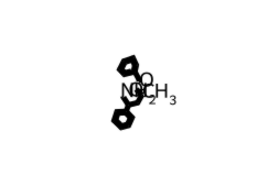 CC(CC(CN)c1ccccc1)OC(=O)c1ccccc1